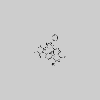 CCC(=O)N(c1ccccc1)[C@H](C1=NOC(Cc2ccccc2)(C(=O)N[C@@H](CC(=O)O)C(=O)CBr)C1)C(C)C